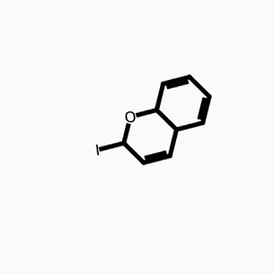 IC1C=CC2C=CC=CC2O1